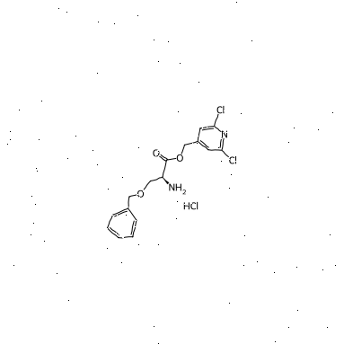 Cl.N[C@@H](COCc1ccccc1)C(=O)OCc1cc(Cl)nc(Cl)c1